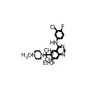 CCOc1cc2ncnc(Nc3ccc(F)c(Cl)c3)c2cc1C(C)(C)N1CCN(C)CC1